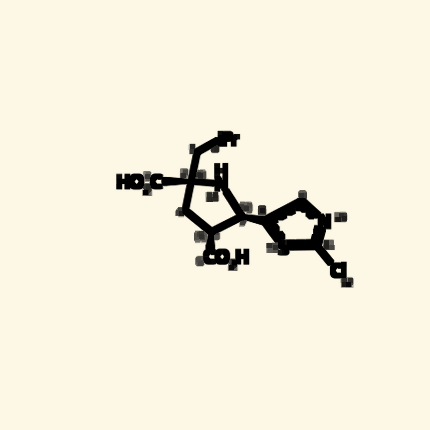 CC(C)C[C@@]1(C(=O)O)C[C@H](C(=O)O)[C@H](c2cnc(Cl)s2)N1